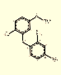 Cc1ccc(OC(=O)O)cc1Nc1ccc([N+](=O)[O-])cc1N